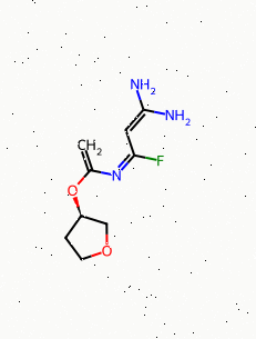 C=C(/N=C(/F)C=C(N)N)O[C@@H]1CCOC1